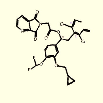 C=C/C(Cl)=C(C[C@H](OC(=O)CN1C(=O)c2cccnc2C1=O)c1ccc(OC(F)F)c(OCC2CC2)c1)\C(Cl)=C/C